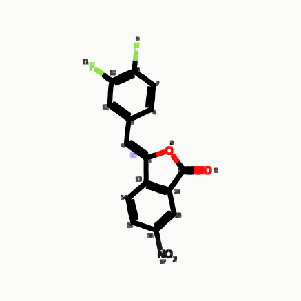 O=C1O/C(=C\c2ccc(F)c(F)c2)c2ccc([N+](=O)[O-])cc21